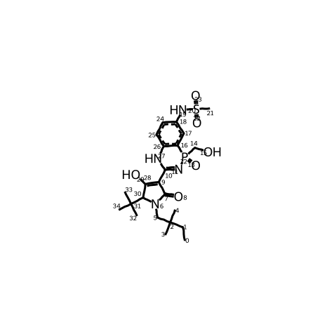 CCC(C)(C)CN1C(=O)C(C2=NP(=O)(CO)c3cc(NS(C)(=O)=O)ccc3N2)=C(O)C1C(C)(C)C